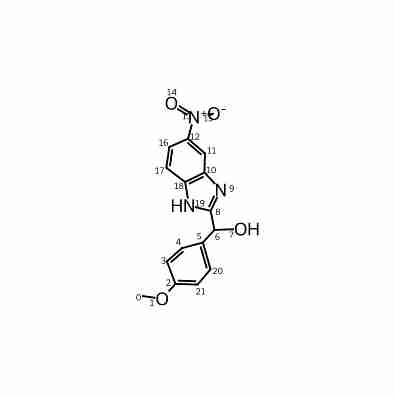 COc1ccc(C(O)c2nc3cc([N+](=O)[O-])ccc3[nH]2)cc1